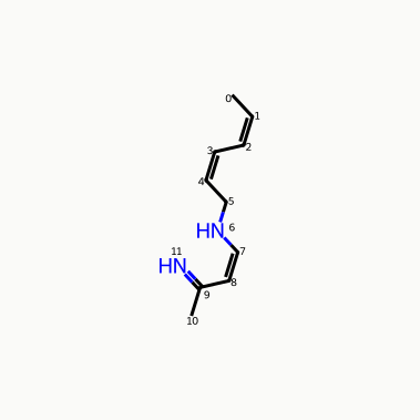 C/C=C\C=C/CN/C=C\C(C)=N